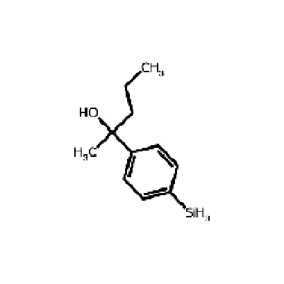 CCCC(C)(O)c1ccc([SiH3])cc1